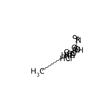 CCCCCCCCCCCCCCCCCCNC(=O)OCC(CNS(=O)(=O)CCCCc1nccc2ccccc12)OC.Cl